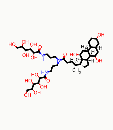 C[C@H](CCC(=O)N(CCCNC(=O)[C@H](O)[C@@H](O)[C@H](O)[C@H](O)CO)CCCNC(=O)[C@H](O)[C@@H](O)[C@H](O)[C@H](O)CO)[C@H]1CC[C@H]2[C@@H]3[C@H](O)C[C@@H]4C[C@H](O)CC[C@]4(C)[C@H]3C[C@H](O)[C@]12C